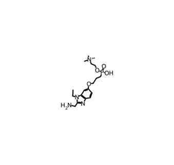 CCn1c(CN)nc2ccc(OCCCP(=O)(O)OCC[N+](C)(C)C)cc21